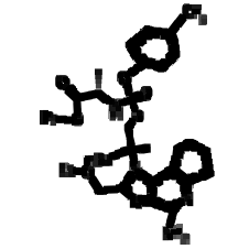 CCCCC(C)(COP(=O)(N[C@@H](C)C(=O)OC(C)C)Oc1ccc(C(F)(F)F)cc1)n1c(COCC)nc2c(N)nc3ccccc3c21